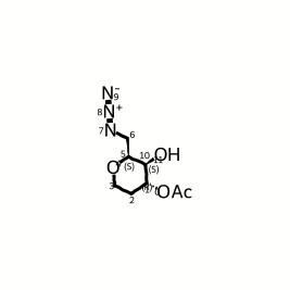 CC(=O)O[C@@H]1CCO[C@@H](CN=[N+]=[N-])[C@H]1O